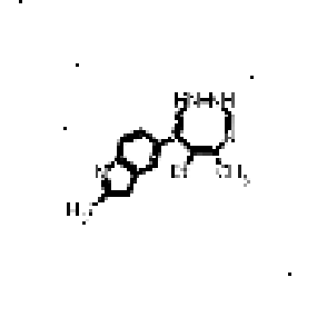 CCc1c(-c2ccc3c(c2)CC(C)=N3)c[nH][nH]cnc1C